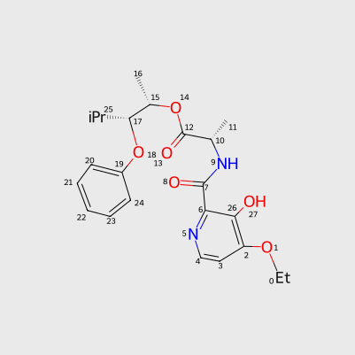 CCOc1ccnc(C(=O)N[C@@H](C)C(=O)O[C@@H](C)[C@H](Oc2ccccc2)C(C)C)c1O